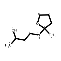 CC(O)CCNC1(C)CCCO1